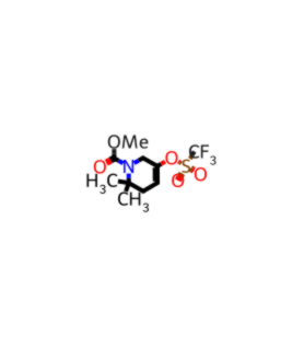 COC(=O)N1CC(OS(=O)(=O)C(F)(F)F)=CCC1(C)C